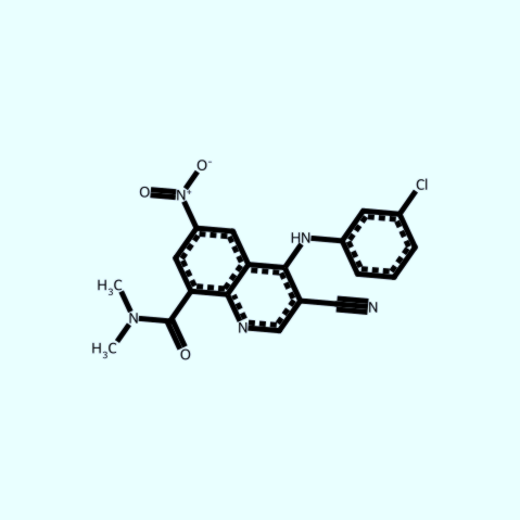 CN(C)C(=O)c1cc([N+](=O)[O-])cc2c(Nc3cccc(Cl)c3)c(C#N)cnc12